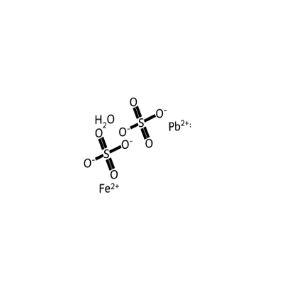 O.O=S(=O)([O-])[O-].O=S(=O)([O-])[O-].[Fe+2].[Pb+2]